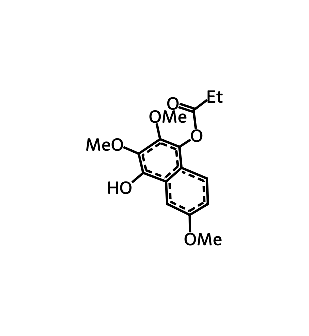 CCC(=O)Oc1c(OC)c(OC)c(O)c2cc(OC)ccc12